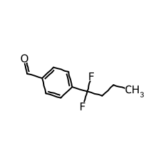 CCCC(F)(F)c1ccc(C=O)cc1